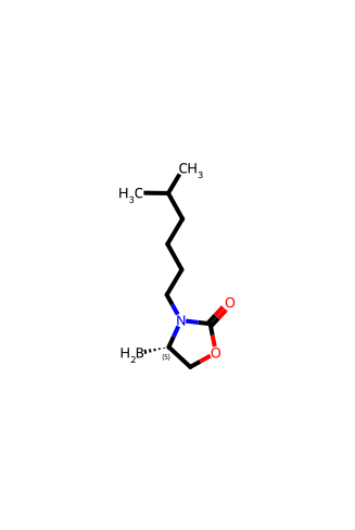 B[C@H]1COC(=O)N1CCCCC(C)C